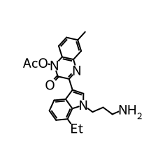 CCc1cccc2c(-c3nc4cc(C)ccc4n(OC(C)=O)c3=O)cn(CCCN)c12